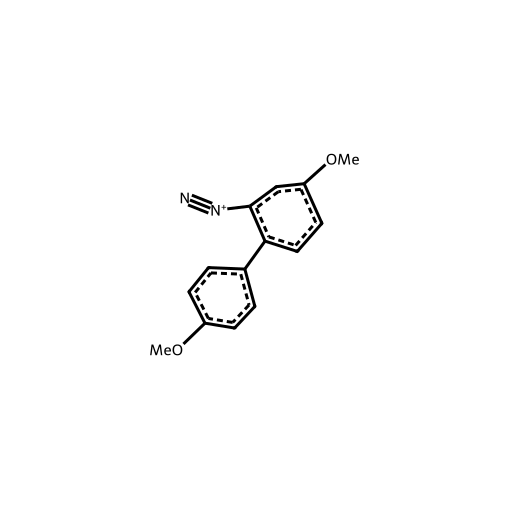 COc1ccc(-c2ccc(OC)cc2[N+]#N)cc1